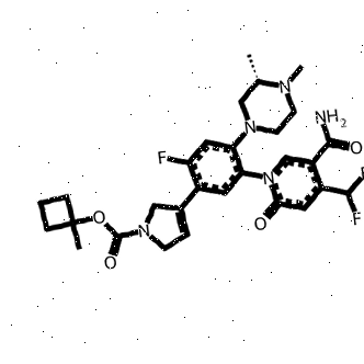 C[C@H]1CN(c2cc(F)c(C3=CCN(C(=O)OC4(C)CCC4)C3)cc2-n2cc(C(N)=O)c(C(F)F)cc2=O)CCN1C